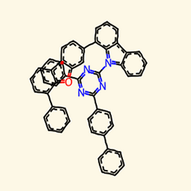 c1ccc(-c2ccc(-c3nc(-c4ccccc4)nc(-n4c5ccccc5c5cccc(-c6ccc7c(c6)oc6c(-c8ccccc8)cccc67)c54)n3)cc2)cc1